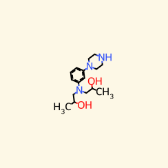 CC(O)CN(CC(C)O)c1cccc(N2CCNCC2)c1